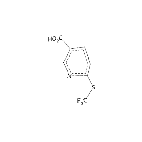 O=C(O)c1ccc(SC(F)(F)F)nc1